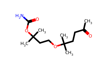 CC(=O)CCC(C)(C)OCCC(C)(C)OC(N)=O